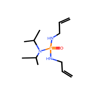 C=CCNP(=O)(NCC=C)N(C(C)C)C(C)C